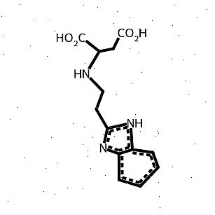 O=C(O)CC(NCCc1nc2ccccc2[nH]1)C(=O)O